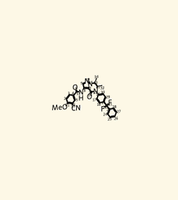 COc1ccc(C(=O)Nc2cnn3c2C(=O)N(c2ccc(C(F)(F)c4ccccc4)cc2)[C@H](C)[C@@H]3C)cc1C#N